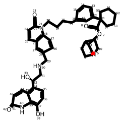 O=C(OC1CN2CCC1CC2)C1(c2cccc(CCCCn3c(=O)ccc4cc(CNC[C@H](O)c5ccc(O)c6[nH]c(=O)ccc56)ccc43)c2)CCCCC1